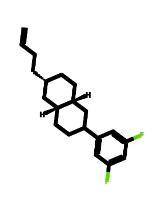 C=CCC[C@@H]1CC[C@@H]2CC(c3cc(F)cc(F)c3)CC[C@@H]2C1